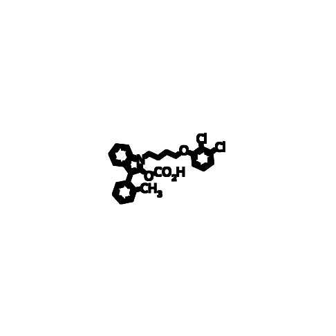 Cc1ccccc1-c1c(OC(=O)O)n(CCCCOc2cccc(Cl)c2Cl)c2ccccc12